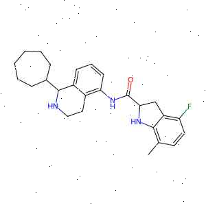 Cc1ccc(F)c2c1NC(C(=O)Nc1cccc3c1CCNC3C1CCCCCC1)C2